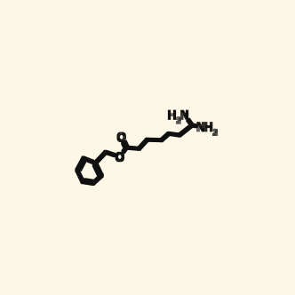 NC(N)CCCCCC(=O)OCc1ccccc1